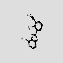 C#Cc1cccc(-c2nc3c(N)ncnc3s2)c1C